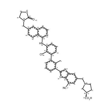 Cc1c(-c2nc3cc(CN4CC[C@@H](C(=O)O)C4)cc(C#N)c3o2)cccc1-c1cccc(Nc2nccc3cc(CN4CCOC4=O)cnc23)c1Cl